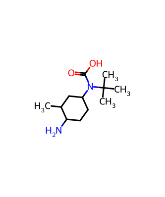 CC1CC(N(C(=O)O)C(C)(C)C)CCC1N